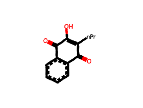 CCCC1=C(O)C(=O)c2ccccc2C1=O